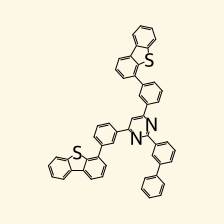 c1ccc(-c2cccc(-c3nc(-c4cccc(-c5cccc6c5sc5ccccc56)c4)cc(-c4cccc(-c5cccc6c5sc5ccccc56)c4)n3)c2)cc1